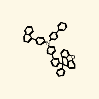 c1ccc(-c2ccc(N(c3ccc(-c4cccc(C5(c6ccccc6)c6cccc7oc8cccc5c8c67)c4)cc3)c3ccc(-c4cccc5ccccc45)cc3)cc2)cc1